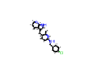 Cc1nc(NCc2ccc(Cl)cc2)ccc1Cc1c[nH]c2ncccc12